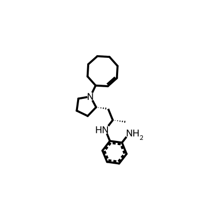 C[C@@H](C[C@@H]1CCCN1C1/C=C\CCCCC1)Nc1ccccc1N